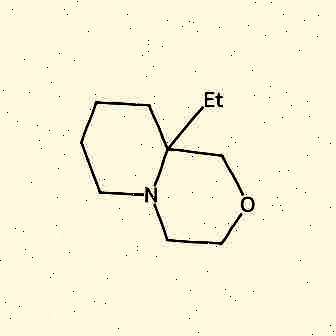 CCC12CCCCN1CCOC2